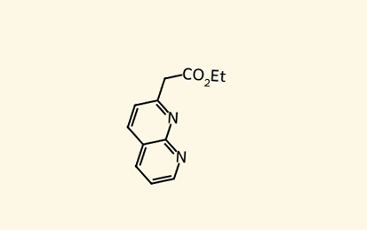 CCOC(=O)Cc1ccc2cccnc2n1